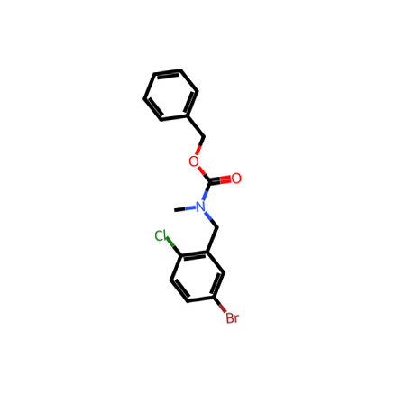 CN(Cc1cc(Br)ccc1Cl)C(=O)OCc1ccccc1